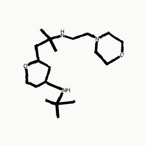 CC(C)(C)NC1CCOC(CC(C)(C)NCCN2CCOCC2)C1